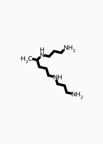 [CH2]C(CCCNCCCN)NCCCN